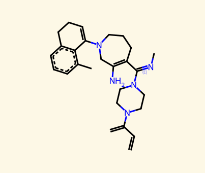 C=CC(=C)N1CCN(/C(=N/C)C2=C(N)CN(C3=CCCc4cccc(C)c43)CCC2)CC1